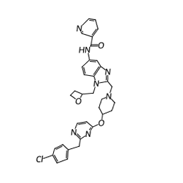 O=C(Nc1ccc2c(c1)nc(CN1CCC(Oc3ccnc(Cc4ccc(Cl)cc4)n3)CC1)n2CC1CCO1)c1cccnc1